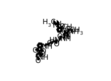 CNC(=O)c1nnc(NC(=O)CNC(=O)CCOCCNc2cccc3c2C(=O)N(C2CCC(=O)NC2=O)C3=O)cc1Nc1cccc(-c2ncn(C)n2)c1OC